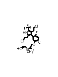 C#CCN(C)C(=O)COc1cc(-c2c(CCCl)[nH]c(C(F)(F)F)c2CCCl)c(F)cc1Cl